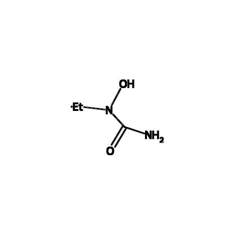 C[CH]N(O)C(N)=O